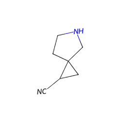 N#CC1CC12CCNC2